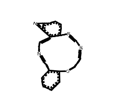 C1=NC=Nc2ccc3c(c2=CN=Cc2ccccc2OC1)=N3